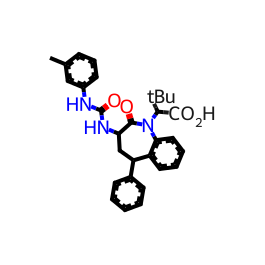 Cc1cccc(NC(=O)NC2CC(c3ccccc3)c3ccccc3N(C(C(=O)O)C(C)(C)C)C2=O)c1